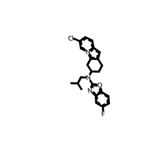 CC(C)CN(c1nc2cc(F)ccc2o1)C1CCc2cc3ccc(Cl)cn3c2C1